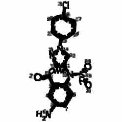 COC(=O)c1cc(N)ccc1N(c1cnn(-c2ccc(Cl)cc2)c1)[SH](=O)=O